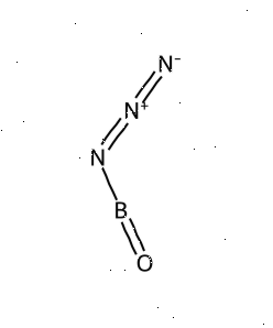 [N-]=[N+]=NB=O